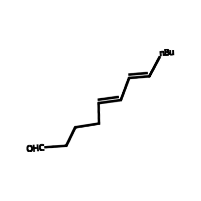 CCCCC=CC=CCCCC=O